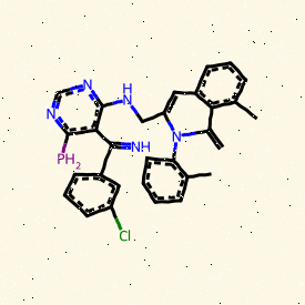 C=C1c2c(C)cccc2C=C(CNc2ncnc(P)c2C(=N)c2cccc(Cl)c2)N1c1ccccc1C